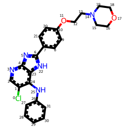 Clc1cnc2nc(-c3ccc(OCCN4CCOCC4)cc3)[nH]c2c1Nc1ccccc1